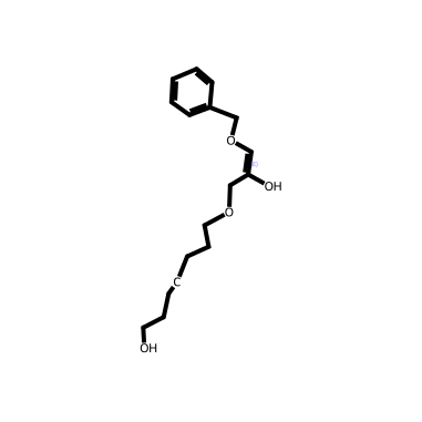 OCCCCCCCOC/C(O)=C\OCc1ccccc1